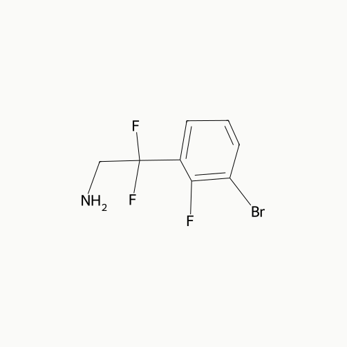 NCC(F)(F)c1cccc(Br)c1F